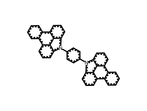 c1ccc2c(c1)c1cccc3c1c1c2cccc1n3-c1ccc(-n2c3cccc4c5ccccc5c5cccc2c5c43)cc1